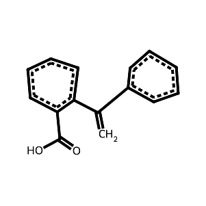 C=C(c1ccccc1)c1ccccc1C(=O)O